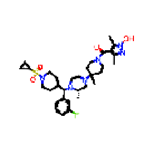 Cc1nn(O)c(C)c1C(=O)N1CCC(C)(N2CCN([C@@H](c3cccc(F)c3)C3CCN(S(=O)(=O)C4CC4)CC3)[C@@H](C)C2)CC1